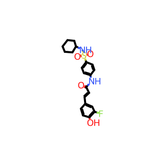 O=C(/C=C/c1ccc(O)c(F)c1)Nc1ccc(S(=O)(=O)NC2CCCCC2)cc1